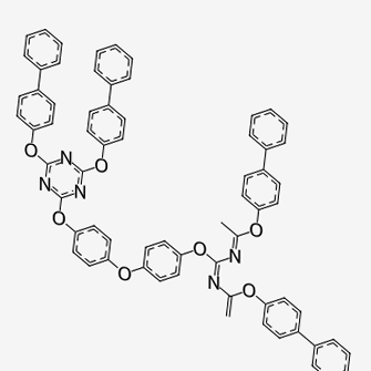 C=C(/N=C(\N=C(/C)Oc1ccc(-c2ccccc2)cc1)Oc1ccc(Oc2ccc(Oc3nc(Oc4ccc(-c5ccccc5)cc4)nc(Oc4ccc(-c5ccccc5)cc4)n3)cc2)cc1)Oc1ccc(-c2ccccc2)cc1